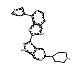 c1cc2[nH]c(-c3n[nH]c4cnc(C5CCNCC5)cc34)nc2c(-c2ccsc2)n1